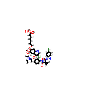 CCN(CC)CC.COc1cc2c(Oc3cccc(NC(=O)C4(C(=O)Nc5ccc(F)cc5)CC4)c3Cl)ccnc2cc1OCCCCCCC(=O)O